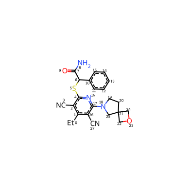 CCc1c(C#N)c(SC(C(N)=O)c2ccccc2)nc(N2CCC3(COC3)C2)c1C#N